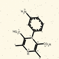 CC1=C(C(=O)O)N(c2cccc(N)c2)C(C(=O)O)=C(C)N1